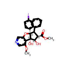 COC(=O)[C@@H]1C(c2ccccc2)[C@]2(c3ccc(I)cc3)Oc3cncc(OC)c3[C@]2(O)[C@@H]1O